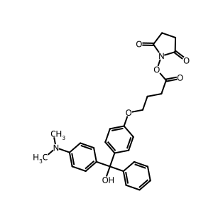 CN(C)c1ccc(C(O)(c2ccccc2)c2ccc(OCCCC(=O)ON3C(=O)CCC3=O)cc2)cc1